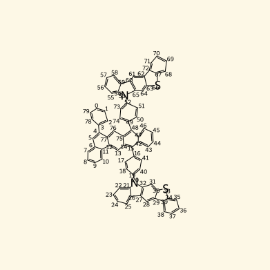 c1ccc(-c2cc3ccccc3c3cc4c(-c5ccc(-n6c7ccccc7c7cc8c(cc76)sc6ccccc68)cc5)c5ccccc5c(-c5ccc(-n6c7ccccc7c7cc8c(cc76)sc6ccccc68)cc5)c4cc23)cc1